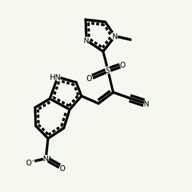 Cn1ccnc1S(=O)(=O)C(C#N)=Cc1c[nH]c2ccc([N+](=O)[O-])cc12